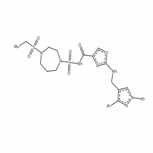 CC(C)c1nn(C(C)C)cc1CNc1nc(C(=O)NS(=O)(=O)N2CCCN(S(=O)(=O)CC(C)(C)C)CC2)co1